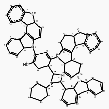 N#CC1=C(N2C3=C(C4C=CC=CC42)C2c4ccccc4SC2C=C3)C=C(N2C3=C(C4CCC=CC42)C2c4ccccc4SC2CC3)C(C2NC(C3C=CC=C4C5=CC=CCC5OC43)N2C2CCCCC2)C1